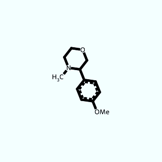 COc1ccc(C2COCCN2C)cc1